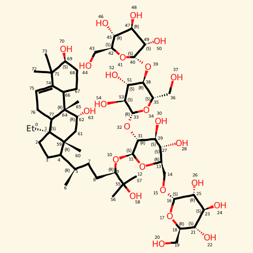 CC[C@@]12CCC([C@H](C)CC[C@@H](O[C@@H]3O[C@H](CO[C@H]4O[C@H](CO)[C@@H](O)[C@H](O)[C@H]4O)[C@@H](O)[C@H](O)[C@H]3O[C@H]3O[C@@H](CO)[C@H](O[C@@H]4O[C@@H](CO)[C@H](O)[C@@H](O)[C@@H]4O)[C@@H](O)[C@@H]3O)C(C)(C)O)[C@@]1(C)C[C@@H](O)[C@@]1(C)C3CC[C@H](O)C(C)(C)C3=CCC12